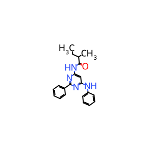 CCC(C)C(=O)Nc1cc(Nc2ccccc2)nc(-c2ccccc2)n1